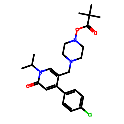 CC(C)n1cc(CN2CCN(OC(=O)C(C)(C)C)CC2)c(-c2ccc(Cl)cc2)cc1=O